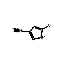 [C-]#[N+]c1c[nH]c(Br)c1